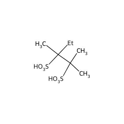 CCC(C)(C(C)(C)S(=O)(=O)O)S(=O)(=O)O